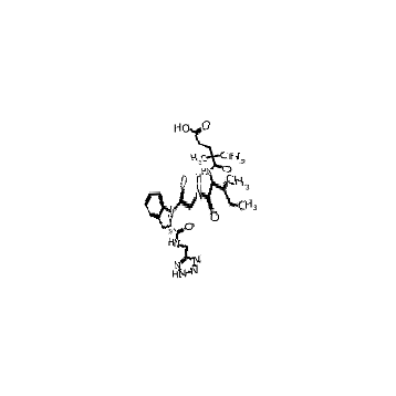 CCC(C)C(NC(=O)C(C)(C)CCC(=O)O)C(=O)NCC(=O)N1c2ccccc2C[C@H]1C(=O)NCc1nn[nH]n1